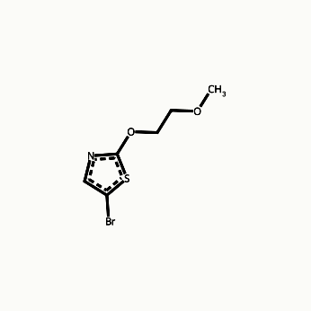 COCCOc1ncc(Br)s1